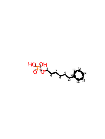 O=P(O)(O)OCCCCCCc1ccccc1